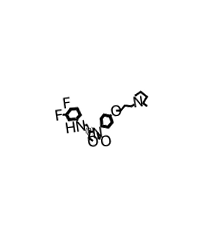 CC1CCCN1CCCOc1ccc(N2C(=O)OC[C@H]2CNc2ccc(F)c(F)c2)cc1